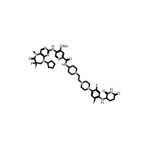 COc1cc(C(=O)NC2CCN(CCN3CCN(c4cc(F)c(NC5CCC(=O)NC5=O)cc4F)CC3)CC2)ncc1Nc1ncc2c(n1)N(C1CCCC1)CC(F)(F)C(=O)N2C